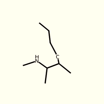 CCCCC(C)C(C)NC